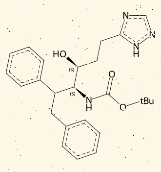 CC(C)(C)OC(=O)N[C@@H](C(Cc1ccccc1)c1ccccc1)[C@@H](O)CCc1ncn[nH]1